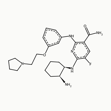 NC(=O)c1cc(F)c(N[C@@H]2CCCC[C@@H]2N)nc1Nc1cccc(OCCN2CCCC2)c1